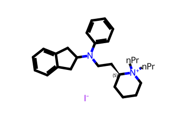 CCC[N+]1(CCC)CCCC[C@H]1CCN(c1ccccc1)C1Cc2ccccc2C1.[I-]